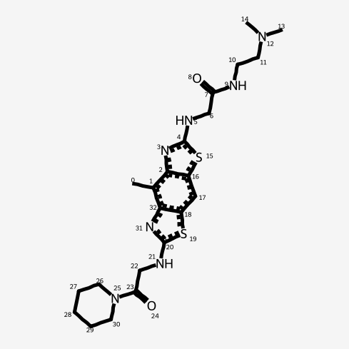 Cc1c2nc(NCC(=O)NCCN(C)C)sc2cc2sc(NCC(=O)N3CCCCC3)nc12